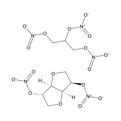 O=[N+]([O-])OCC(CO[N+](=O)[O-])O[N+](=O)[O-].O=[N+]([O-])O[C@H]1CO[C@H]2[C@@H]1OC[C@H]2O[N+](=O)[O-]